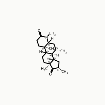 C[C@H]1C[C@H]2[C@@H]3[C@@H](C)C[C@H]4N(C)C(=O)CC[C@]4(C)[C@H]3CC[C@]2(C)C1=O